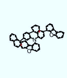 c1ccc(-c2ccc(-c3cccc4ccccc34)cc2N(c2ccc(-c3cccc4c3oc3ccccc34)cc2)c2cccc3oc4ccccc4c23)cc1